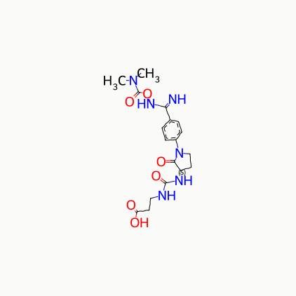 CN(C)C(=O)ONC(=N)c1ccc(N2CC[C@H](NC(=O)NCCC(=O)O)C2=O)cc1